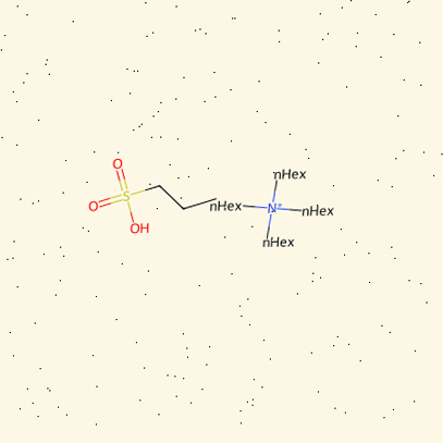 CCCCCC[N+](CCCCCC)(CCCCCC)CCCCCC.CCCS(=O)(=O)O